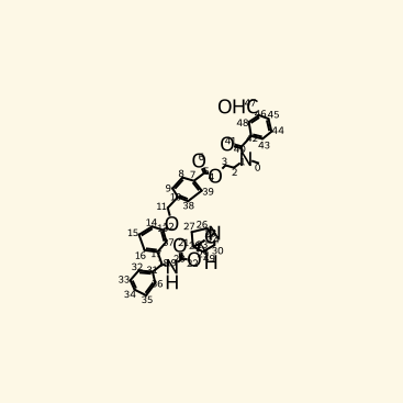 CN(CCOC(=O)c1ccc(COc2cccc(C(NC(=O)O[C@H]3CN4CCC3CC4)c3ccccc3)c2)cc1)C(=O)c1cccc(C=O)c1